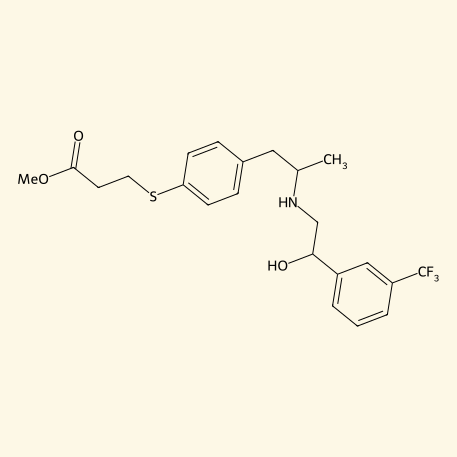 COC(=O)CCSc1ccc(CC(C)NCC(O)c2cccc(C(F)(F)F)c2)cc1